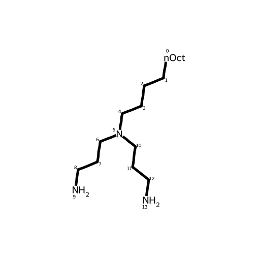 CCCCCCCCCCCCN(CCCN)CCCN